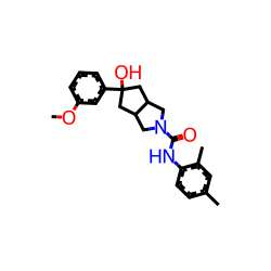 COc1cccc(C2(O)CC3CN(C(=O)Nc4ccc(C)cc4C)CC3C2)c1